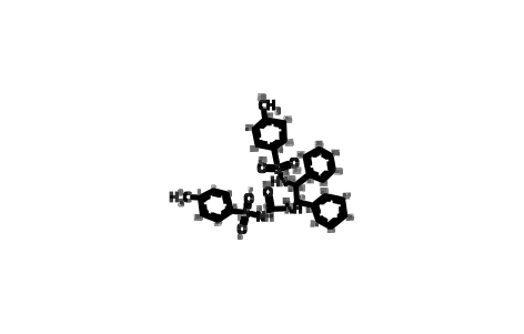 Cc1ccc(S(=O)(=O)NC(=O)N[C@@H](c2ccccc2)[C@@H](NS(=O)(=O)c2ccc(C)cc2)c2ccccc2)cc1